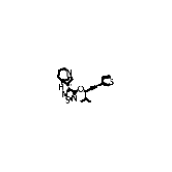 CC(C)C(C#Cc1ccsc1)Oc1nsnc1[C@H]1CN2CCC[C@H]1C2